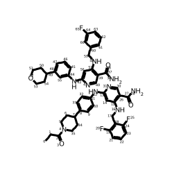 CCC(=O)N1CCC(c2ccc(Nc3cc(NCc4c(F)cccc4F)c(C(N)=O)cn3)cc2)CC1.NC(=O)c1cnc(Nc2cccc(C3CCOCC3)c2)cc1NCc1cccc(F)c1